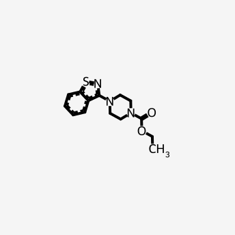 CCOC(=O)N1CCN(c2nsc3ccccc23)CC1